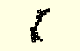 Cc1c(Cl)ccc(OCC(=O)OCCOCCOC(=O)COc2ccc(Cl)cc2Cl)c1Cl